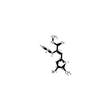 COC(=O)/C(=C/c1cc(Br)c(C)s1)N=[N+]=[N-]